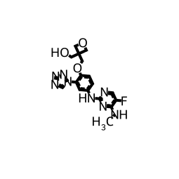 CNc1nc(Nc2ccc(OCC3(CO)COC3)c(-n3cnnn3)c2)ncc1F